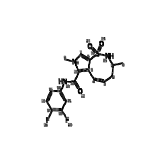 CC1C/C=C\c2c(cn(C)c2C(=O)Nc2ccc(F)c(F)c2)S(=O)(=O)N1